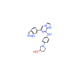 OC1CCN(c2ccc(Nc3nc(-c4ccc5cn[nH]c5c4)cn4ccnc34)cc2)C1